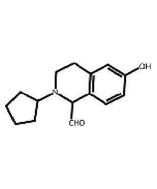 O=CC1c2ccc(O)cc2CCN1C1CCCC1